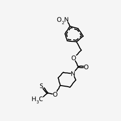 CC(=S)OC1CCN(C(=O)OCc2ccc([N+](=O)[O-])cc2)CC1